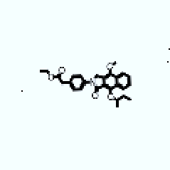 CCOC(=O)Cc1ccc(N2Cc3c(c(OC(C)CC)c4ccccc4c3OC)C2=O)cc1